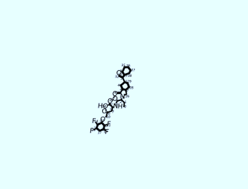 CCC(C(=O)NC(CC(=O)COc1c(F)c(F)cc(F)c1F)C(=O)O)N1Cc2ccc(-c3coc4ccccc34)cc2C1=O